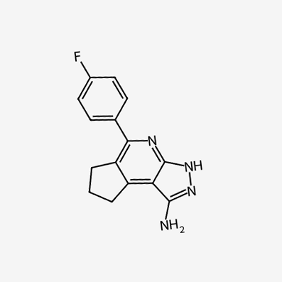 Nc1n[nH]c2nc(-c3ccc(F)cc3)c3c(c12)CCC3